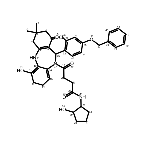 CC1(C)CC(=O)C2=C(C1)NC1=C(O)CCC=C1N(C(=O)CCC(=O)NC1CCCC1O)C2c1ccc(OCc2ccccc2)cc1Cl